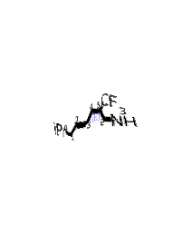 CC(C)CC=C/C=C(\C=N)C(F)(F)F